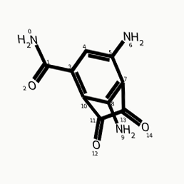 NC(=O)c1cc(N)c2c(N)c1C(=O)C2=O